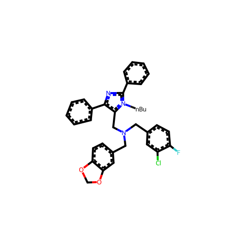 CCCCn1c(-c2ccccc2)nc(-c2ccccc2)c1CN(Cc1ccc(F)c(Cl)c1)Cc1ccc2c(c1)OCO2